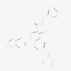 O=C(NCc1ccc(F)cc1)c1cn(-c2ccc3[nH]ccc3c2)c2ccc(CN3CCOCC3)cc2c1=O